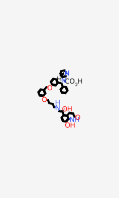 O=C(O)N(C(c1ccccc1)c1cccc(OCc2cccc(OCCCCNC[C@H](O)c3ccc(O)c4[nH]c(=O)ccc34)c2)c1)[C@H]1CN2CCC1CC2